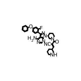 N#C/C(=C\C1CCCNC1)C(=O)N1CCC[C@@H](n2nc(-c3ccc(Oc4ccccc4)cc3F)c3c(N)ncnc32)C1